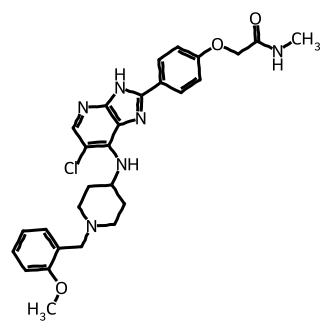 CNC(=O)COc1ccc(-c2nc3c(NC4CCN(Cc5ccccc5OC)CC4)c(Cl)cnc3[nH]2)cc1